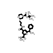 CNC(=O)c1cc(C(=O)NCCC[C@H]2CN(C(=O)OC(C)(C)C)CCO2)cc(C(C)c2ccccc2)n1